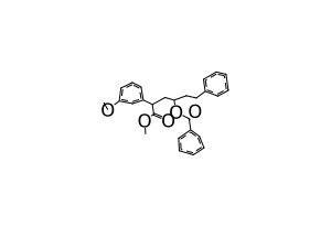 COC(=O)C(CC(CCc1ccccc1)OC(=O)c1ccccc1)c1cccc(OC)c1